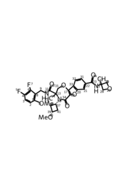 COc1ccc(F)c(F)c1CNC(=O)C1(C)COc2c(oc3cc(C(=O)NC4(C)COC4)ccc23)C(=O)N1[C@H]1C[C@@H](OC)C1